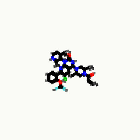 C=CC(=O)N1CC(C)N(c2nc(=O)n(-c3c(C)ccnc3C(C)C)c3nc(-c4ccccc4OC(F)F)c(Cl)cc23)CC1C